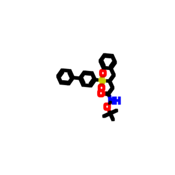 CC(C)(C)ONC(=O)CC(Cc1ccccc1)S(=O)(=O)c1ccc(-c2ccccc2)cc1